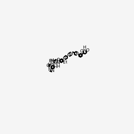 CCc1cc(NC2=NC=C(Br)C(Nc3ccc4nccnc4c3P(C)(C)=O)N2)c(OC)cc1N1CCC(N2CCN(CC3CCN(c4cccc(C5CCC(=O)NC5=O)c4)CC3)CC2)CC1